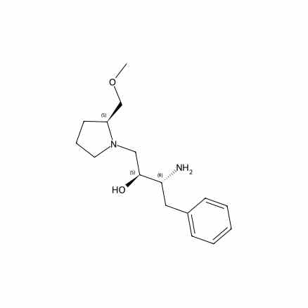 COC[C@@H]1CCCN1C[C@H](O)[C@H](N)Cc1ccccc1